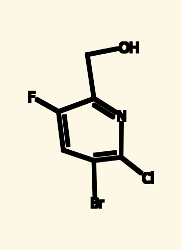 OCc1nc(Cl)c(Br)cc1F